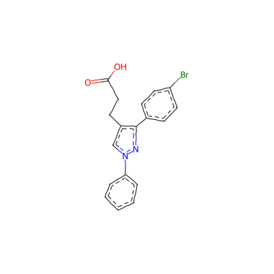 O=C(O)CCc1cn(-c2ccccc2)nc1-c1ccc(Br)cc1